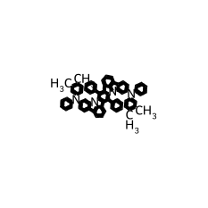 Cc1ccc(N(c2ccccc2)c2ccc3c4cccc5c6c(-c7ccccc7)c7c(c(-c8ccccc8)c6n(c3c2)c45)c2cccc3c4ccc(N(c5ccccc5)c5ccc(C)c(C)c5)cc4n7c32)cc1C